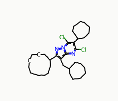 Clc1nc2c(CC3CCCCCCC3)c(C3CCCCCCCCCC3)nn2c(Cl)c1C1CCCCCCC1